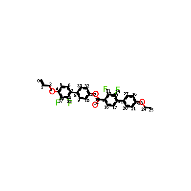 C=CCOc1ccc(-c2ccc(OC(=O)c3ccc(-c4ccc(OCC)cc4)c(F)c3F)cc2)c(F)c1F